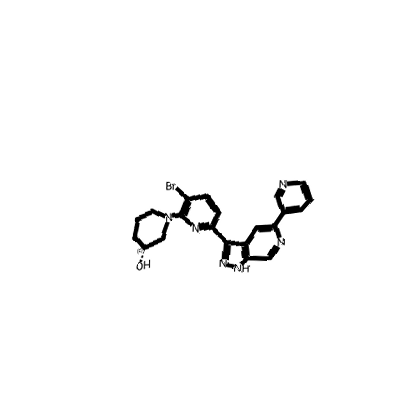 O[C@@H]1CCCN(c2nc(-c3n[nH]c4cnc(-c5cccnc5)cc34)ccc2Br)C1